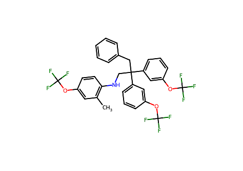 Cc1cc(OC(F)(F)F)ccc1NCC(Cc1ccccc1)(c1cccc(OC(F)(F)F)c1)c1cccc(OC(F)(F)F)c1